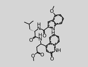 COC(=O)CC(NC(=O)[C@H](CC(C)C)NC(=O)c1cc2c(OC)cccc2[nH]1)c1cc(=O)[nH]c2ccccc12